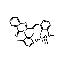 COc1cccc(/C=C/c2nc3ccccc3c(=O)n2-c2c(C)cccc2C)c1OP(=O)(O)O